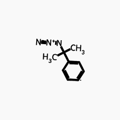 CC(C)(N=[N+]=[N-])c1cc[c]cc1